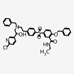 CCNC(=O)c1cc(S(=O)(=O)c2ccc(CCN(Cc3ccccc3)C[C@H](O)c3ccc(Cl)nc3)cc2)ccc1OCc1ccccc1